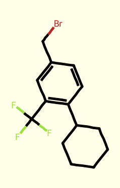 FC(F)(F)c1cc(CBr)ccc1C1CCCCC1